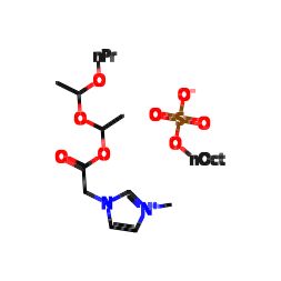 CCCCCCCCOS(=O)(=O)[O-].CCCOC(C)OC(C)OC(=O)Cn1cc[n+](C)c1